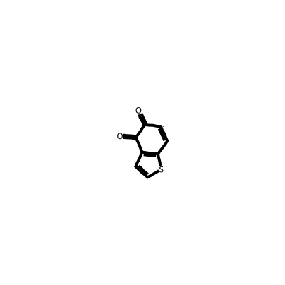 O=C1[C]=Cc2sccc2C1=O